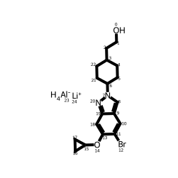 OCCC1CCC(n2cc3cc(Br)c(OC4CC4)cc3n2)CC1.[AlH4-].[Li+]